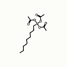 CCCCCCCCC[Si](OC(C)=O)(OC(C)=O)OC(C)=O